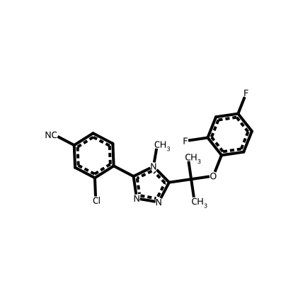 Cn1c(-c2ccc(C#N)cc2Cl)nnc1C(C)(C)Oc1ccc(F)cc1F